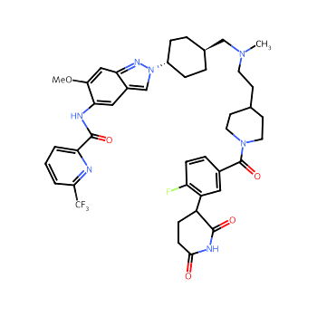 COc1cc2nn([C@H]3CC[C@H](CN(C)CCC4CCN(C(=O)c5ccc(F)c(C6CCC(=O)NC6=O)c5)CC4)CC3)cc2cc1NC(=O)c1cccc(C(F)(F)F)n1